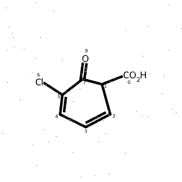 O=C(O)C1C=CC=C(Cl)C1=O